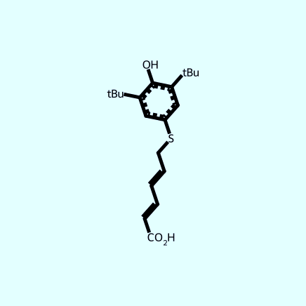 CC(C)(C)c1cc(SCC=CC=CC(=O)O)cc(C(C)(C)C)c1O